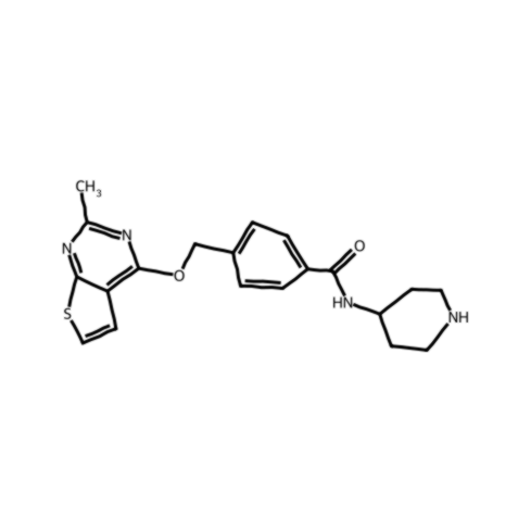 Cc1nc(OCc2ccc(C(=O)NC3CCNCC3)cc2)c2ccsc2n1